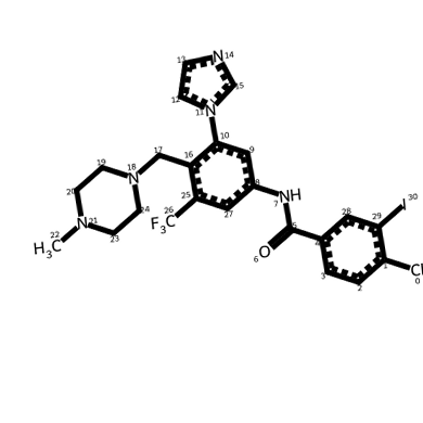 Cc1ccc(C(=O)Nc2cc(-n3ccnc3)c(CN3CCN(C)CC3)c(C(F)(F)F)c2)cc1I